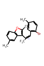 Cc1ccc(Br)c(/C=C(\c2c(C(F)(F)F)oc3ccc(C)cc23)C(F)(F)F)c1